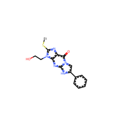 CCSc1nc2c(=O)n3cc(-c4ccccc4)[nH]c3nc2n1CCO